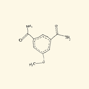 COc1cc(C(N)=O)cc(C(N)=O)c1